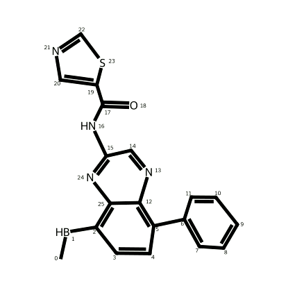 CBc1ccc(-c2ccccc2)c2ncc(NC(=O)c3cncs3)nc12